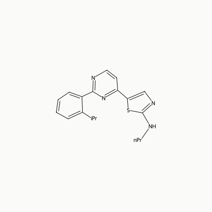 CCCNc1ncc(-c2ccnc(-c3ccccc3C(C)C)n2)s1